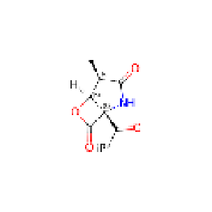 CC(C)C(=O)[C@]12NC(=O)[C@H](C)[C@@H]1OC2=O